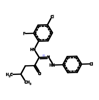 CC(C)CC(=O)/C(=N\Nc1ccc(Cl)cc1)Nc1ccc(Cl)cc1F